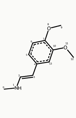 CNC=Cc1ccc(OC)c(OC)c1